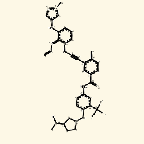 C=C/N=c1/c(Nc2cnn(C)c2)cccn1CC#Cc1cc(C(=O)Nc2ccc(CN3CCC(N(C)C)C3)c(C(F)(F)F)c2)ccc1C